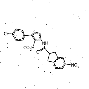 O=C(O)c1c(NC(=O)C2Cc3ccc([N+](=O)[O-])cc3C2)csc1-c1ccc(Cl)cc1